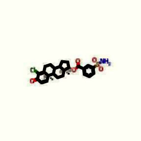 C[C@]12C=CC(=O)C(Cl)=C1CCC1C2CC[C@@]2(C)C1CC[C@@H]2OC(=O)c1cccc(S(N)(=O)=O)c1